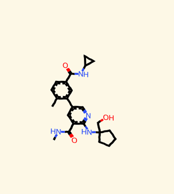 CNC(=O)c1cc(-c2cc(C(=O)NC3CC3)ccc2C)cnc1NC1(CO)CCCC1